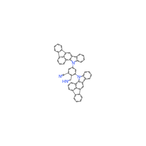 N#Cc1cc(-n2c3ccccc3c3cc4c5c(cccc5c32)-c2ccccc2-4)cc(-n2c3ccccc3c3cc4c5c(cccc5c32)-c2ccccc2-4)c1C=N